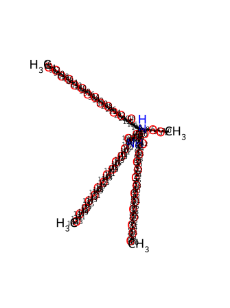 CCCOCCOCCC(=O)NC(CCCCC(=O)CCCOCCOCCOCCOCCOCCOCCOCCOCCOCCOCCOCCOC)(COCCC(=O)CCCOCCOCCOCCOCCOCCOCCOCCOCCOCCOCCOCCOC)COCCC(=O)NCCOCCOCCOCCOCCOCCOCCOCCOCCOCCOCCOCCOC